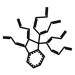 C=C/C=C\C(=C/C=C)C1(C(/C=C\C=C)=C/C=C)C(=C/C=C)/C(=C\C=C)c2ccccc21